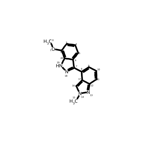 COc1cccc2c(-c3cccc4nn(C)cc34)n[nH]c12